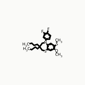 CCCCC1(CCCC)CSc2cc(OC)c(SC)cc2N(c2ccc(F)c(F)c2)C1